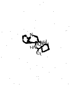 CCC(Nc1c(N)cnc2ccccc12)C1(O)CCCC1